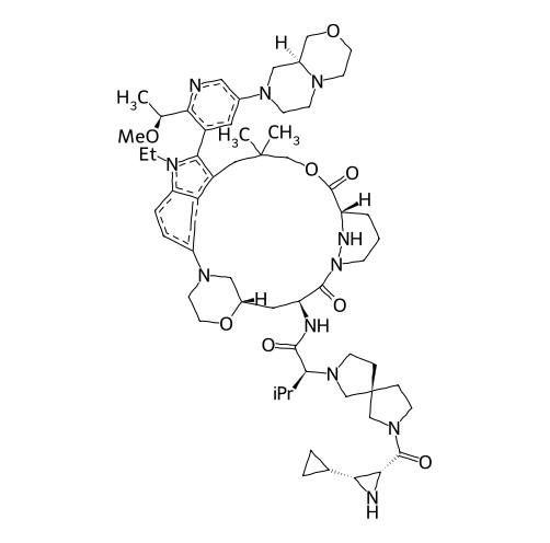 CCn1c(-c2cc(N3CCN4CCOC[C@@H]4C3)cnc2[C@H](C)OC)c2c3cc(ccc31)N1CCO[C@@H](C[C@H](NC(=O)[C@H](C(C)C)N3CC[C@]4(CCN(C(=O)[C@@H]5N[C@@H]5C5CC5)C4)C3)C(=O)N3CCC[C@H](N3)C(=O)OCC(C)(C)C2)C1